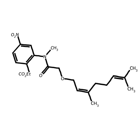 CCOC(=O)c1ccc([N+](=O)[O-])cc1N(C)C(=O)COCC=C(C)CCC=C(C)C